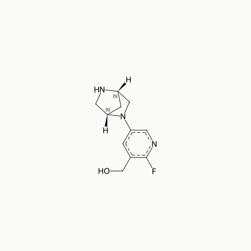 OCc1cc(N2C[C@@H]3C[C@H]2CN3)cnc1F